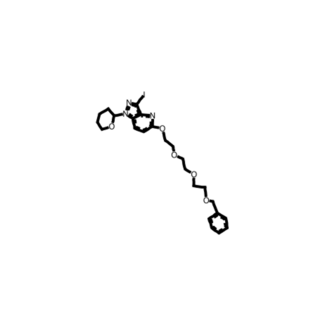 Ic1nn(C2CCCCO2)c2ccc(OCCOCCOCCOCc3ccccc3)nc12